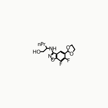 CCCC(CO)Nc1noc2c(F)c(F)c(C3OCCO3)cc12